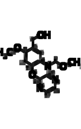 COCN1c2cc(CO)c(OC)cc2Oc2nccnc21